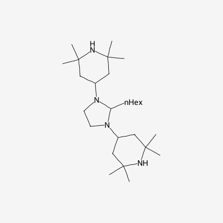 CCCCCCC1N(C2CC(C)(C)NC(C)(C)C2)CCN1C1CC(C)(C)NC(C)(C)C1